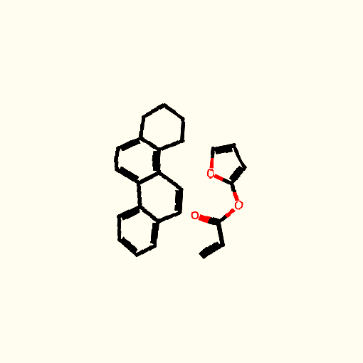 C=CC(=O)Oc1ccco1.c1ccc2c(c1)ccc1c3c(ccc12)CCCC3